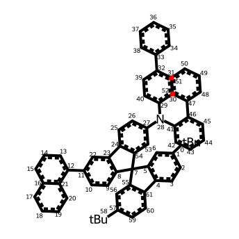 CC(C)(C)c1ccc2c(c1)C1(c3ccc(-c4cccc5ccccc45)cc3-c3ccc(N(c4ccc(-c5ccccc5)cc4)c4ccccc4-c4ccccc4)cc31)c1cc(C(C)(C)C)ccc1-2